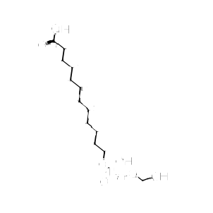 CCOOP(=O)(O)OCCCCCCCCCCCC(=O)O